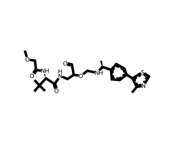 COCC(=O)N[C@H](C(=O)NCC(C=O)OCN[C@@H](C)c1ccc(-c2scnc2C)cc1)C(C)(C)C